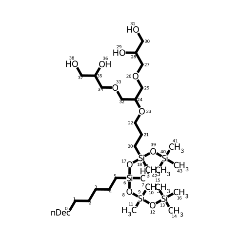 CCCCCCCCCCCCCCC[Si](C)(O[Si](C)(C)O[Si](C)(C)C)O[Si](C)(CCCOC(COCC(O)CO)COCC(O)CO)O[Si](C)(C)C